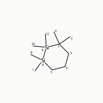 CC1(C)CCC[Si](C)(C)[Si]1(C)C